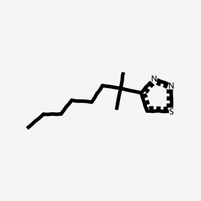 CCCCCCC(C)(C)c1csnn1